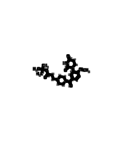 COc1ccc(C(=O)N2CCN(CCC(=O)OC(C)(C)C)CC2)cc1N1CCC(=O)NC1=O